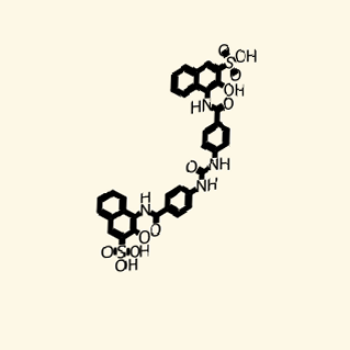 O=C(Nc1ccc(C(=O)Nc2c(O)c(S(=O)(=O)O)cc3ccccc23)cc1)Nc1ccc(C(=O)Nc2c(O)c(S(=O)(=O)O)cc3ccccc23)cc1